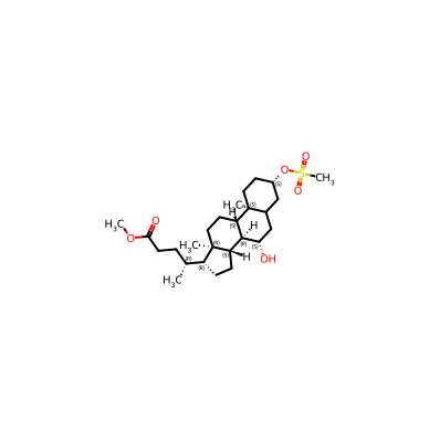 COC(=O)CC[C@@H](C)[C@H]1CC[C@H]2[C@@H]3[C@@H](O)CC4C[C@@H](OS(C)(=O)=O)CC[C@]4(C)[C@H]3CC[C@]12C